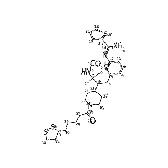 CC(C)(NC(=O)O)C(Cc1cccc(/N=C(\N)c2cccs2)c1)C1CCN(C(=O)CCCCC2CCSS2)CC1